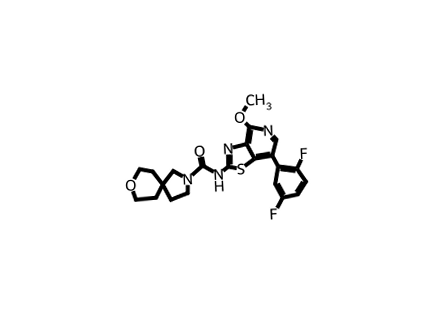 COc1ncc(-c2cc(F)ccc2F)c2sc(NC(=O)N3CCC4(CCOCC4)C3)nc12